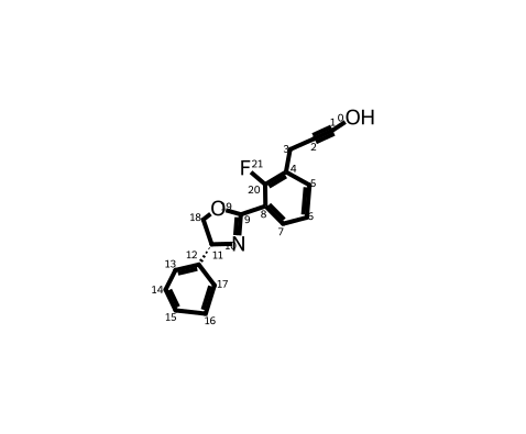 OC#CCc1cccc(C2=N[C@H](c3ccccc3)CO2)c1F